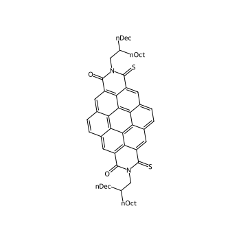 CCCCCCCCCCC(CCCCCCCC)Cn1c(=O)c2cc3ccc4cc5c(=O)n(CC(CCCCCCCC)CCCCCCCCCC)c(=S)c6cc7ccc8cc(c1=S)c2c1c3c4c(c56)c7c81